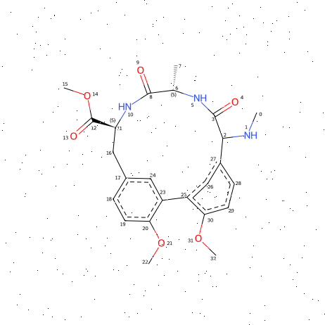 CNC1C(=O)N[C@@H](C)C(=O)N[C@H](C(=O)OC)Cc2ccc(OC)c(c2)-c2cc1ccc2OC